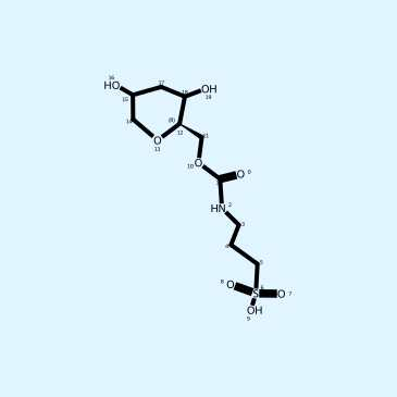 O=C(NCCCS(=O)(=O)O)OC[C@H]1OCC(O)CC1O